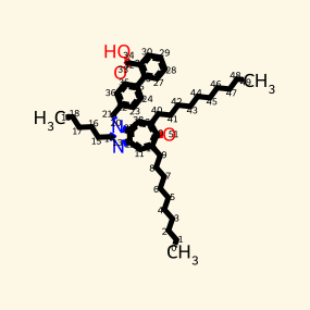 CCCCCCCCCCc1cc2nc(CCCCC)n(Cc3ccc(-c4ccccc4C(=O)O)cc3)c2cc(CCCCCCCCCC)c1=O